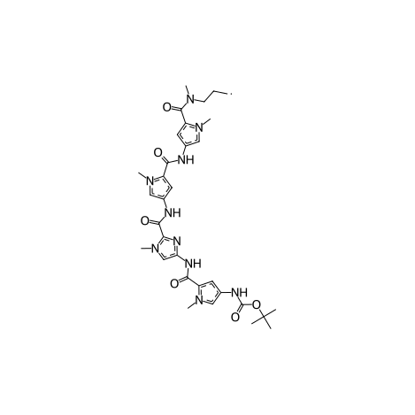 [CH2]CCN(C)C(=O)c1cc(NC(=O)c2cc(NC(=O)c3nc(NC(=O)c4cc(NC(=O)OC(C)(C)C)cn4C)cn3C)cn2C)cn1C